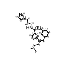 CC(C)CCN(Cc1cccc(Cl)c1)c1ncc(C(=O)NCCCn2ccnc2)s1